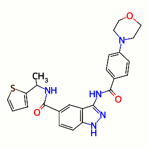 CC(NC(=O)c1ccc2[nH]nc(NC(=O)c3ccc(N4CCOCC4)cc3)c2c1)c1cccs1